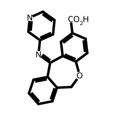 O=C(O)c1ccc2c(c1)C(=Nc1cccnc1)c1ccccc1CO2